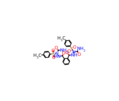 Cc1ccc(S(=O)(=O)N(NC(=O)c2ccccc2C(=O)NN(C(N)=O)S(=O)(=O)c2ccc(C)cc2)C(N)=O)cc1